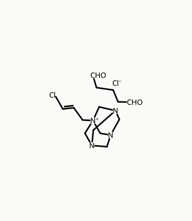 ClC=CC[N+]12CN3CN(CN(C3)C1)C2.O=CCCCC=O.[Cl-]